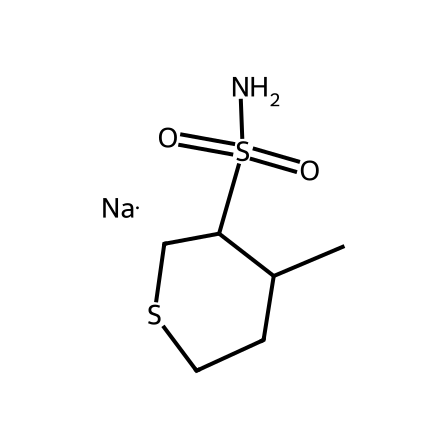 CC1CCSCC1S(N)(=O)=O.[Na]